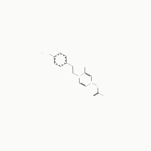 COc1ccc(CCN2C=CN(NC(N)=S)C=C2Cl)cc1